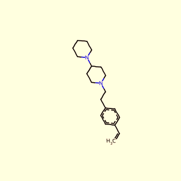 C=Cc1ccc(CCN2CCC(N3CCCCC3)CC2)cc1